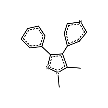 Cc1c(-c2ccncc2)c(-c2ccccc2)nn1C